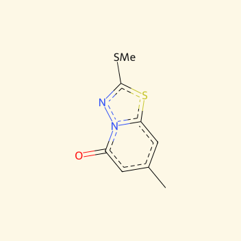 CSc1nn2c(=O)cc(C)cc2s1